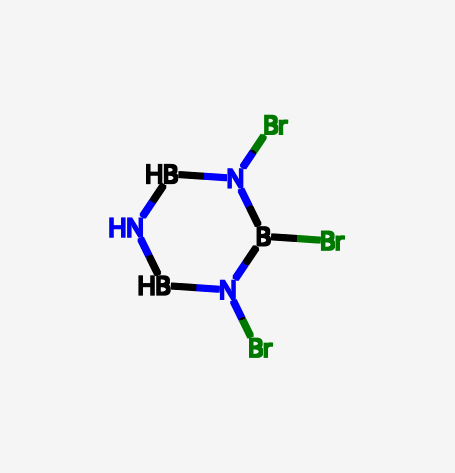 BrB1N(Br)BNBN1Br